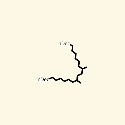 CCCCCCCCCCCCCCCCC(C)CCC(C)CCCCCCCCCCCCCCCC